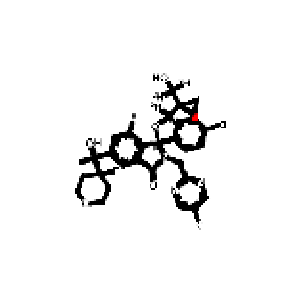 [2H]C([2H])(O)C1(C([2H])([2H])O[C@]2(c3ccc(Cl)cc3)c3c(F)cc(C(C)(O)C4(F)CCOCC4)cc3C(=O)N2Cc2ncc(Cl)cn2)CC1